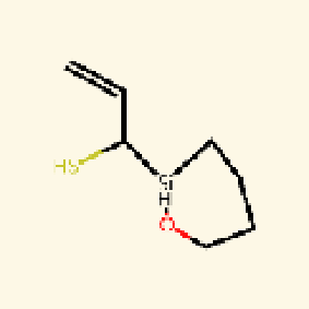 C=CC(S)[SiH]1CCCCO1